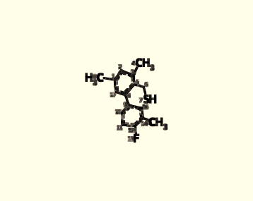 Cc1cc(C)c(CS)c(-c2ccc(F)c(C)c2)c1